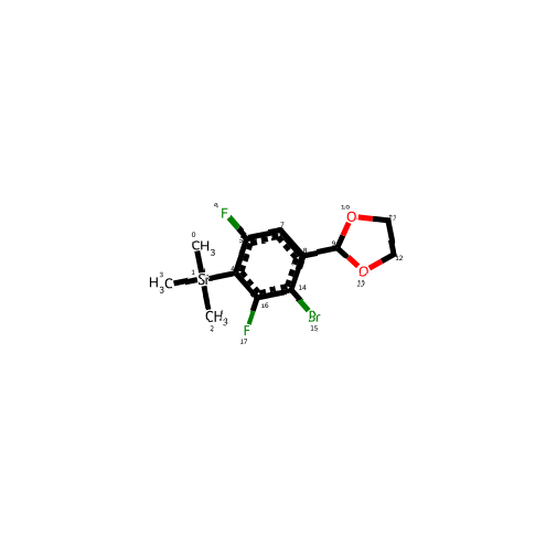 C[Si](C)(C)c1c(F)cc(C2OCCO2)c(Br)c1F